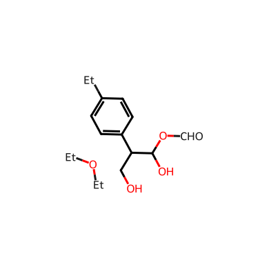 CCOCC.CCc1ccc(C(CO)C(O)OC=O)cc1